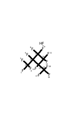 F.FC(F)(F)C1(F)C(F)(F)C(F)(F)C1(F)C(F)(F)F